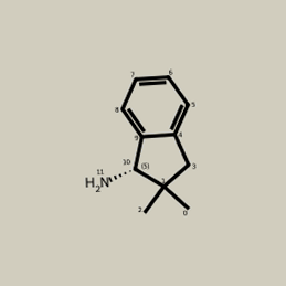 CC1(C)Cc2ccccc2[C@H]1N